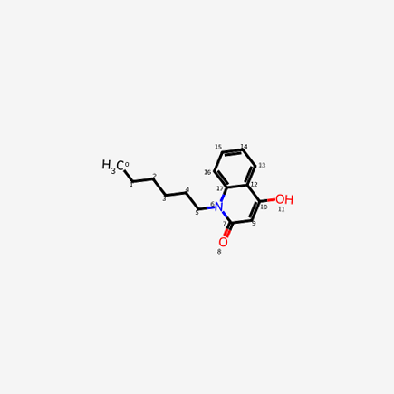 CCCCCCn1c(=O)cc(O)c2ccccc21